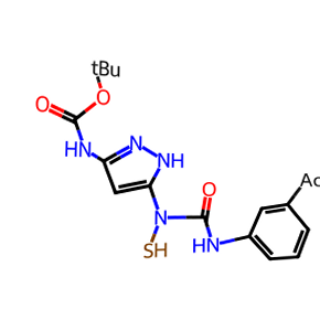 CC(=O)c1cccc(NC(=O)N(S)c2cc(NC(=O)OC(C)(C)C)n[nH]2)c1